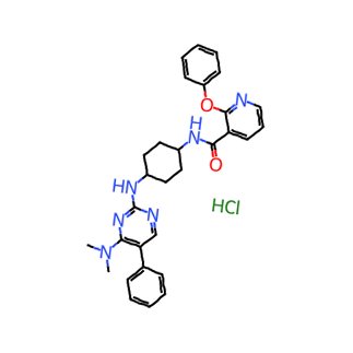 CN(C)c1nc(NC2CCC(NC(=O)c3cccnc3Oc3ccccc3)CC2)ncc1-c1ccccc1.Cl